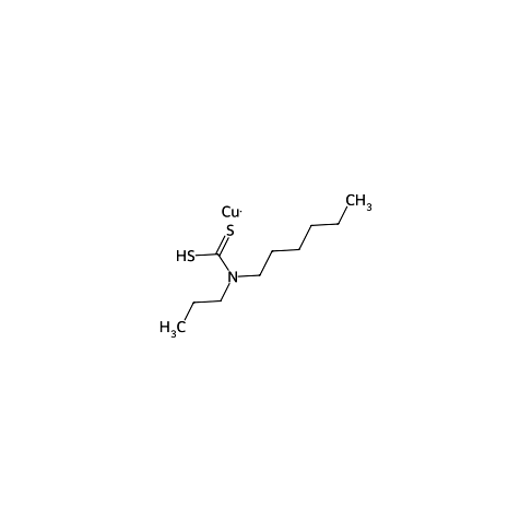 CCCCCCN(CCC)C(=S)S.[Cu]